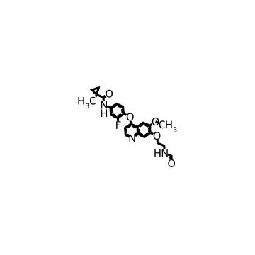 COc1cc2c(Oc3ccc(NC(=O)C4(C)CC4)cc3F)ccnc2cc1OCCNC=O